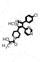 C[C@@H](O)C(=O)N1CCC(c2[nH]nc(-c3ccc(Cl)cc3)c2-c2ccncn2)CC1.Cl